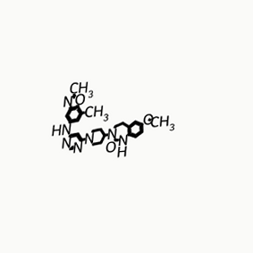 COc1ccc2c(c1)CCN(C1CCN(c3cc(Nc4cc(C)c5oc(C)nc5c4)ncn3)CC1)C(=O)N2